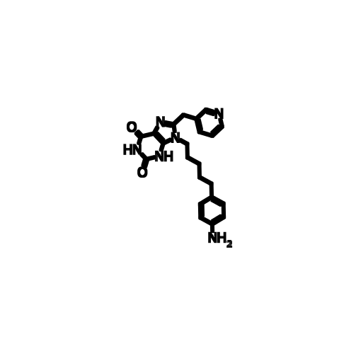 Nc1ccc(CCCCCn2c(Cc3cccnc3)nc3c(=O)[nH]c(=O)[nH]c32)cc1